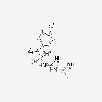 [2H]c1ccc(C([2H])C([2H])([2H])NC(=N)NC(C)=N)cc1